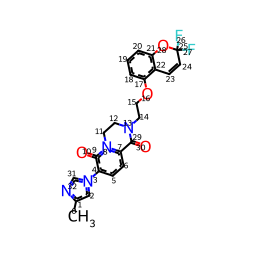 Cc1cn(-c2ccc3n(c2=O)CCN(CCOc2cccc4c2C=CC(F)(F)O4)C3=O)cn1